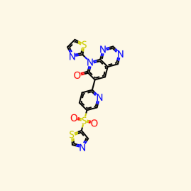 O=c1c(-c2ccc(S(=O)(=O)c3cncs3)cn2)cc2cncnc2n1-c1nccs1